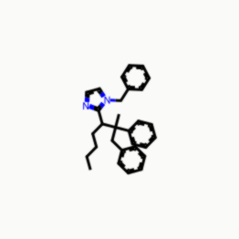 CCCCC(c1nccn1Cc1ccccc1)C(C)(Cc1ccccc1)c1ccccc1